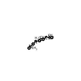 Cn1c(-c2ccc(-c3ccc(-c4ccc5c(c4)C(C)(C)c4cc(-c6ccc(-c7nc8ccccc8n7C)s6)ccc4-5)s3)cc2)nc2ccccc21